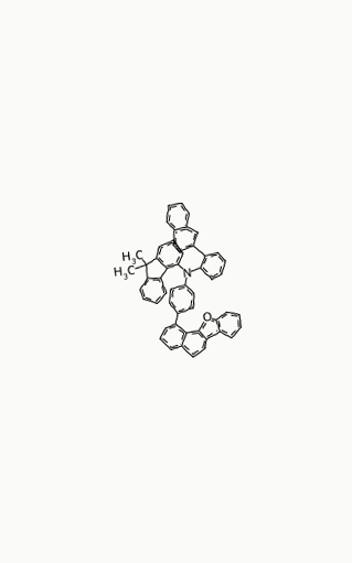 CC1(C)c2ccccc2-c2c(N(c3ccc(-c4cccc5ccc6c7ccccc7oc6c45)cc3)c3ccccc3-c3ccc4ccccc4c3)cccc21